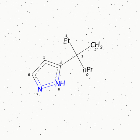 CCCC(C)(CC)c1ccn[nH]1